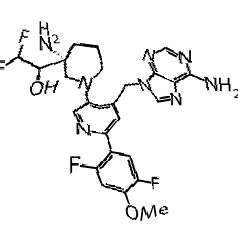 COc1cc(F)c(-c2cc(Cn3cnc4c(N)ncnc43)c(N3CCC[C@](N)([C@@H](O)C(F)F)C3)cn2)cc1F